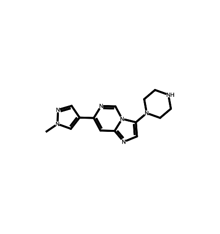 Cn1cc(-c2cc3ncc(N4CCNCC4)n3cn2)cn1